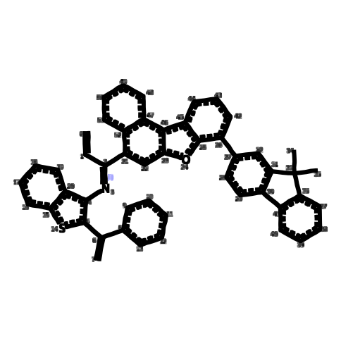 C=C/C(=N\c1c(C(=C)c2ccccc2)sc2ccccc12)c1cc2oc3c(-c4ccc5c(c4)C(C)(C)c4ccccc4-5)cccc3c2c2ccccc12